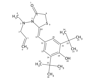 C=CCN(C)N1C(=O)CSC1=Cc1cc(C(C)(C)C)c(O)c(C(C)(C)C)c1